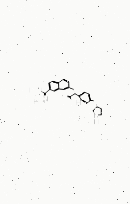 NC(=NO)c1ccc2ccc(C[C@H](C(=O)O)c3ccc(O[C@H]4CCNC4)cc3)cc2c1